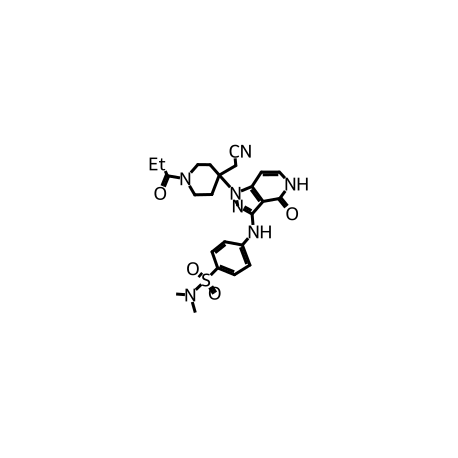 CCC(=O)N1CCC(CC#N)(n2nc(Nc3ccc(S(=O)(=O)N(C)C)cc3)c3c(=O)[nH]ccc32)CC1